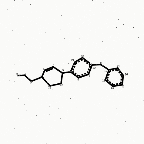 CCCC1C=CC(c2ccc(Cc3ccccc3)cc2)CC1